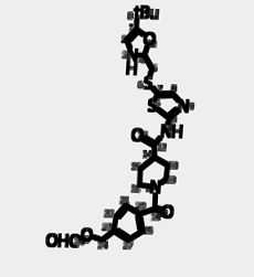 CC(C)(C)C1=CNC(CSc2cnc(NC(=O)C3CCN(C(=O)c4ccc(COC=O)cc4)CC3)s2)O1